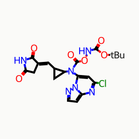 CC(C)(C)OC(=O)NOC(=O)N(c1cc(Cl)nc2ccnn12)C1CC1C=C1CC(=O)NC1=O